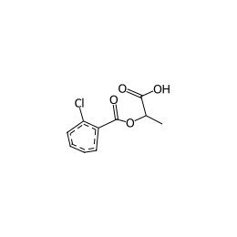 CC(OC(=O)c1ccccc1Cl)C(=O)O